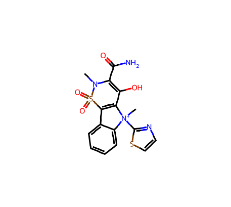 CN1C(C(N)=O)=C(O)C2=C(c3ccccc3[N+]2(C)c2nccs2)S1(=O)=O